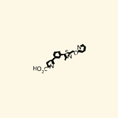 Cc1nc(COc2ccccn2)sc1-c1cccc(-c2ccc(C(=O)O)nc2)c1